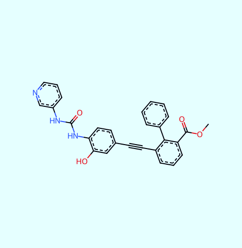 COC(=O)c1cccc(C#Cc2ccc(NC(=O)Nc3cccnc3)c(O)c2)c1-c1ccccc1